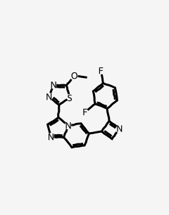 COc1nnc(-c2cnc3ccc(C4=CN=C4c4ccc(F)cc4F)cn23)s1